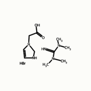 Br.CN(C)C(=N)N(C)C.O=C(O)CN1C=CNC1